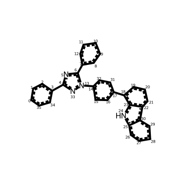 c1ccc(-c2nc(-c3ccccc3)n(-c3ccc(-c4cccc5c4[nH]c4ccccc45)cc3)n2)cc1